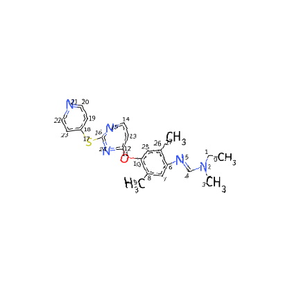 CCN(C)/C=N/c1cc(C)c(Oc2ccnc(Sc3ccncc3)n2)cc1C